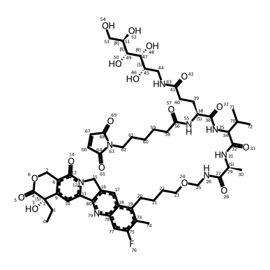 CC[C@@]1(O)C(=O)OCc2c1cc1n(c2=O)Cc2cc3c(CCCCOCNC(=O)[C@H](C)NC(=O)C(NC(=O)[C@H](CCC(=O)NC[C@H](O)[C@@H](O)[C@H](O)[C@H](O)CO)NC(=O)CCCCCN4C(=O)C=CC4=O)C(C)C)c(C)c(F)cc3nc2-1